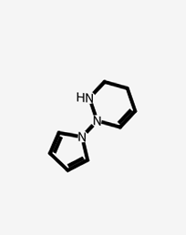 C1=CN(n2cccc2)NCC1